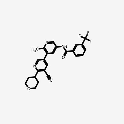 Cc1ncc(NC(=O)c2cccc(C(F)(F)F)c2)cc1-c1cnc(C2CCOCC2)c(C#N)c1